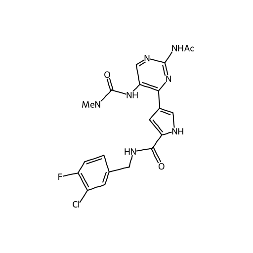 CNC(=O)Nc1cnc(NC(C)=O)nc1-c1c[nH]c(C(=O)NCc2ccc(F)c(Cl)c2)c1